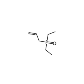 C=CCP(=O)(CC)CC